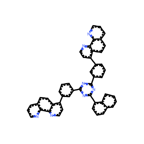 c1cc(-c2nc(-c3cccc(-c4ccnc5c4ccc4cccnc45)c3)nc(-c3cccc4ccccc34)n2)cc(-c2ccnc3c2ccc2cccnc23)c1